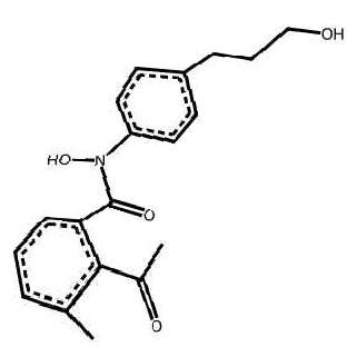 CC(=O)c1c(C)cccc1C(=O)N(O)c1ccc(CCCO)cc1